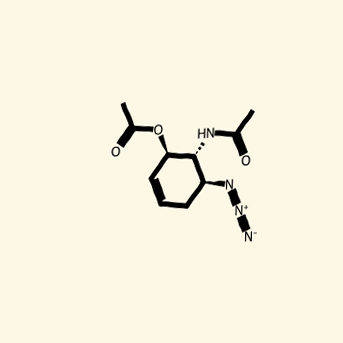 CC(=O)N[C@@H]1[C@@H](N=[N+]=[N-])CC=C[C@H]1OC(C)=O